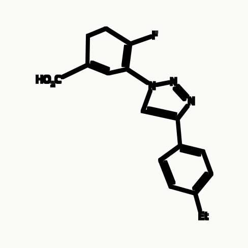 CCc1ccc(-c2cn(C3=C(F)CCC(C(=O)O)=C3)nn2)cc1